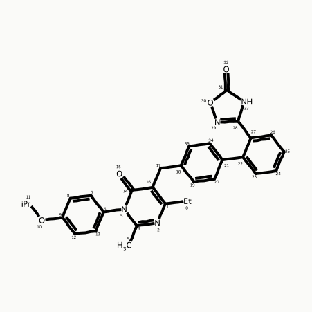 CCc1nc(C)n(-c2ccc(OC(C)C)cc2)c(=O)c1Cc1ccc(-c2ccccc2-c2noc(=O)[nH]2)cc1